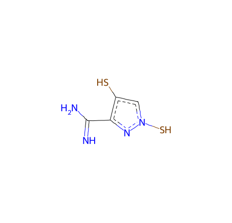 N=C(N)c1nn(S)cc1S